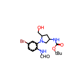 CC(C)(C)OC(=O)NC1CC(CO)N(c2cc(Br)ccc2NC=O)C1